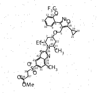 CC[C@H]1C[C@@H](OCc2c(-c3ccccc3OC(F)(F)F)noc2C2CC2)C[C@@H](C)N1c1nc2c(C)cc(S(=O)(=O)CCC(=O)OC)cc2s1